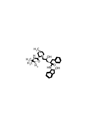 CN1CCN(C[C@@H](O)C[C@@H](Cc2ccccc2)C(=O)N[C@H]2c3ccccc3C[C@H]2O)[C@H](C(=O)NC(C)(C)C)C1